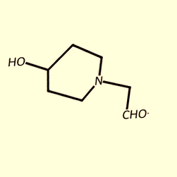 O=[C]CN1CCC(O)CC1